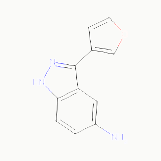 Nc1ccc2[nH]nc(-c3ccoc3)c2c1